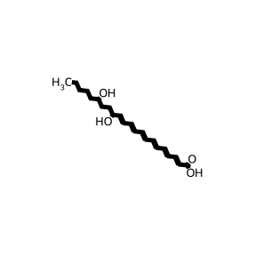 CCCCCC(O)CCC(O)C=CC=CC=CC=CC=CC=CC(=O)O